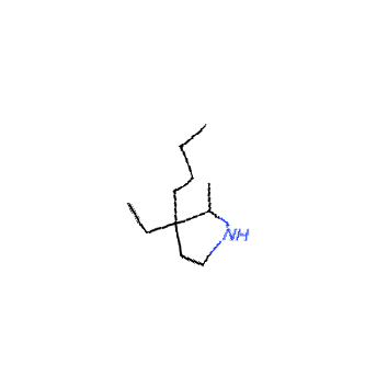 CCCCC1(CC)CCNC1C